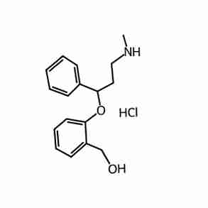 CNCCC(Oc1ccccc1CO)c1ccccc1.Cl